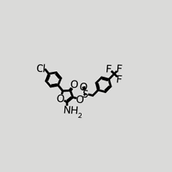 NC1=C(OS(=O)Cc2ccc(C(F)(F)F)cc2)C(=O)C(c2ccc(Cl)cc2)O1